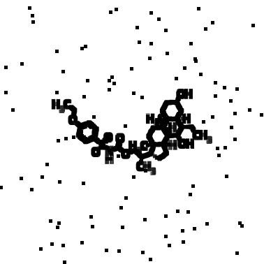 CCOc1ccc(S(=O)(=O)NC(=O)OC[C@@H](C)[C@H]2CC[C@H]3[C@@H]4[C@H](O)[C@H](CC)[C@@H]5C[C@H](O)CC[C@]5(C)[C@H]4CC[C@]23C)cc1